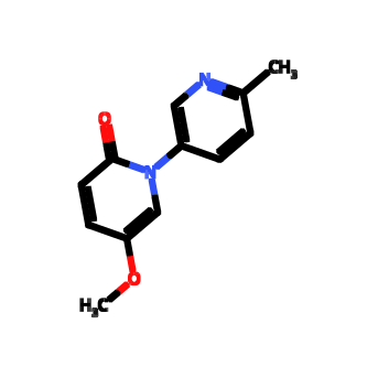 COc1ccc(=O)n(-c2ccc(C)nc2)c1